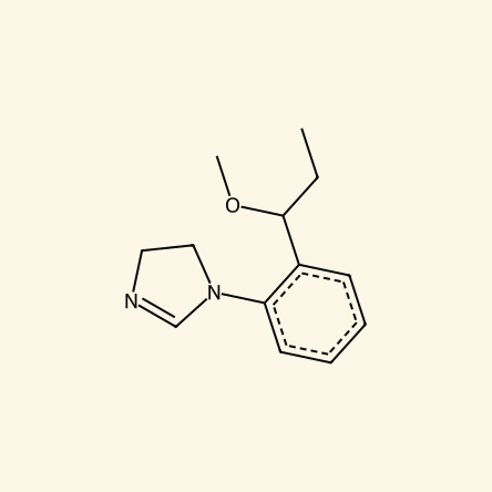 CCC(OC)c1ccccc1N1C=NCC1